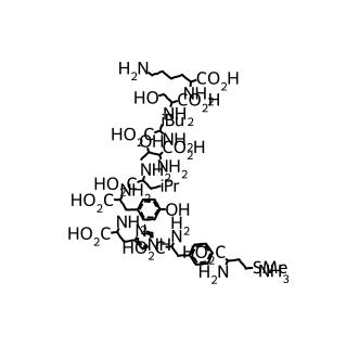 CC(C)CC(N)C(=O)O.CC(O)C(N)C(=O)O.CCC(C)C(N)C(=O)O.CSCCC(N)C(=O)O.N.NC(CO)C(=O)O.NC(Cc1c[nH]cn1)C(=O)O.NC(Cc1ccc(O)cc1)C(=O)O.NC(Cc1ccccc1)C(=O)O.NCCCCC(N)C(=O)O